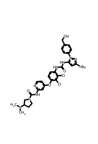 CCCCc1cc(NC(=O)Nc2ccc(Oc3ccnc(NC(=O)N4CCC(N(C)C)C4)c3)c(Cl)c2Cl)n(-c2ccc(CO)cc2)n1